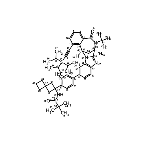 [2H]C([2H])([2H])N1C(=O)c2cccc(C#C[Si](C(C)C)(C(C)C)C(C)C)c2[C@H]2C[C@@H]1c1nc3ccc(-c4ccc(C5(N[S+]([O-])C(C)(C)C)CC6(CCC6)C5)nc4)cc3n12